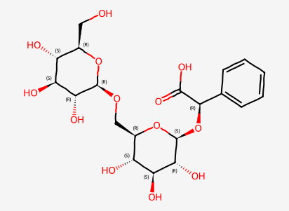 O=C(O)[C@H](O[C@@H]1O[C@H](CO[C@@H]2O[C@H](CO)[C@@H](O)[C@H](O)[C@H]2O)[C@@H](O)[C@H](O)[C@H]1O)c1ccccc1